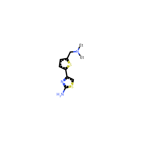 CCN(CC)Cc1ccc(-c2csc(N)n2)s1